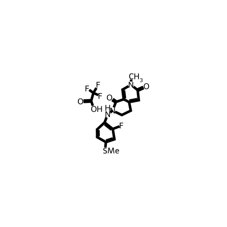 CSc1ccc(NN2CCc3cc(=O)n(C)cc3C2=O)c(F)c1.O=C(O)C(F)(F)F